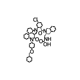 O=C(O)NC[C@@H]1Cc2ccccc2CN1C(=O)c1ccc(Cl)cc1-n1cc(C(=O)N(c2ccccc2)c2ccc(OCc3ccccc3)cc2)c2ccccc21